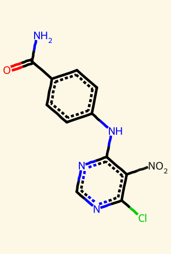 NC(=O)c1ccc(Nc2ncnc(Cl)c2[N+](=O)[O-])cc1